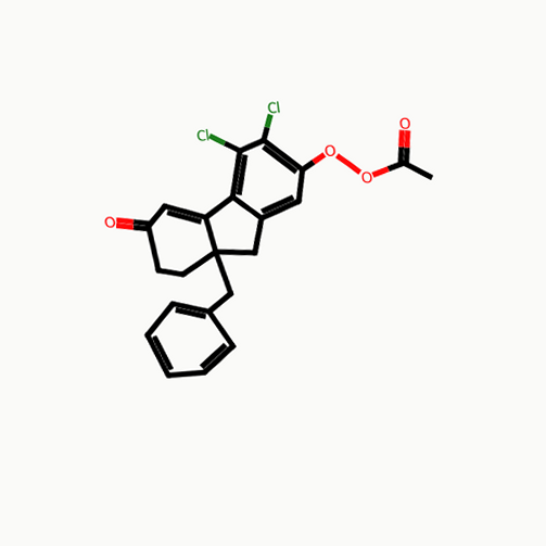 CC(=O)OOc1cc2c(c(Cl)c1Cl)C1=CC(=O)CCC1(Cc1ccccc1)C2